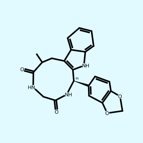 CC1Cc2c([nH]c3ccccc23)[C@@H](c2ccc3c(c2)OCO3)NC(=O)CNC1=O